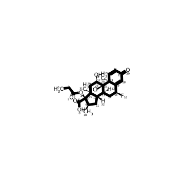 CCC(=O)O[C@]1(C(=O)O)[C@H](C)C[C@H]2[C@@H]3C[C@H](F)C4=CC(=O)C=C[C@]4(C)[C@@]3(Cl)[C@@H](O)C[C@@]21C